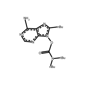 CCCCc1nc2c(N)ncnc2n1OC(=O)N(CCCC)C(C)(C)C